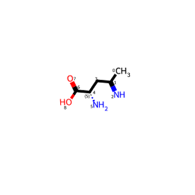 CC(=N)C[C@H](N)C(=O)O